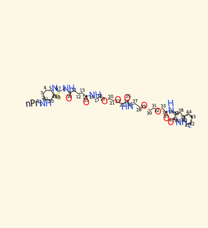 CCCN[C@H]1CCc2nc(NC(=O)CCCC(=O)NCCOCCOCC(=O)NCCOCCOCC(=O)N[C@@H](Cc3ccccc3)C(N)=O)sc2C1